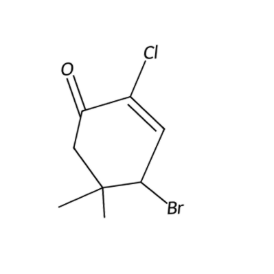 CC1(C)CC(=O)C(Cl)=CC1Br